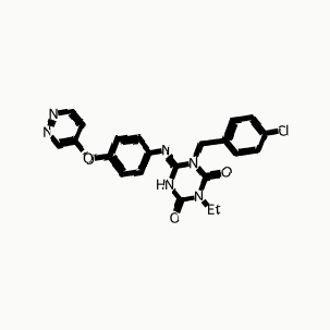 CCn1c(=O)[nH]/c(=N\c2ccc(Oc3ccnnc3)cc2)n(Cc2ccc(Cl)cc2)c1=O